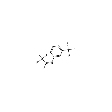 CC(=Nc1cccc(C(F)(F)F)c1)C(F)(F)F